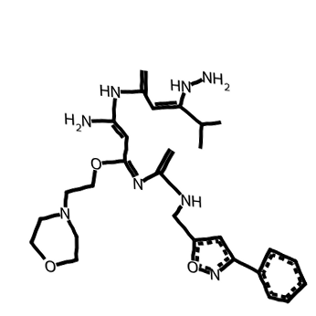 C=C(/C=C(\NN)C(C)C)N/C(N)=C/C(=N\C(=C)NCc1cc(-c2ccccc2)no1)OCCN1CCOCC1